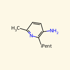 CCCC(C)c1nc(C)ccc1N